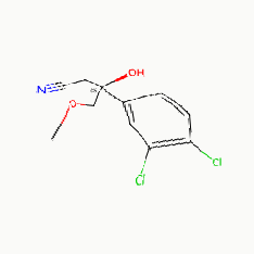 COC[C@](O)(CC#N)c1ccc(Cl)c(Cl)c1